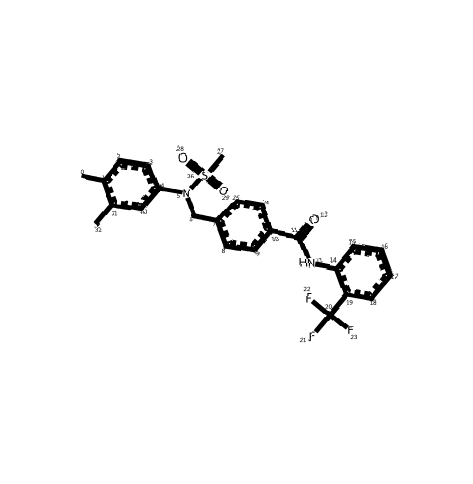 Cc1ccc(N(Cc2ccc(C(=O)Nc3ccccc3C(F)(F)F)cc2)S(C)(=O)=O)cc1C